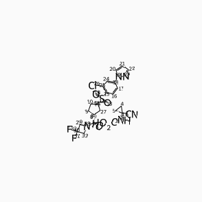 N#CC1(NC(=O)O)CC1.O=C([C@@H]1CC[C@@H](S(=O)(=O)c2ccc(-n3cccn3)cc2Cl)C1)N1CC(F)(F)C1